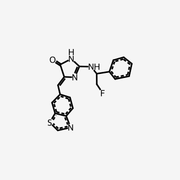 O=C1NC(NC(CF)c2ccccc2)=N/C1=C\c1ccc2ncsc2c1